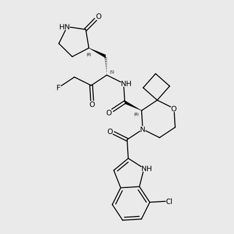 O=C1NCC[C@@H]1C[C@H](NC(=O)[C@@H]1N(C(=O)c2cc3cccc(Cl)c3[nH]2)CCOC12CCC2)C(=O)CF